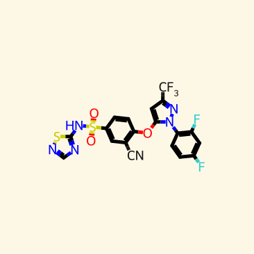 N#Cc1cc(S(=O)(=O)Nc2ncns2)ccc1Oc1cc(C(F)(F)F)nn1-c1ccc(F)cc1F